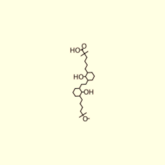 COC(C)(C)CCCCC1CCCC(CCC2CCCC(CCCCC(C)(C)C(=O)O)C2O)C1O